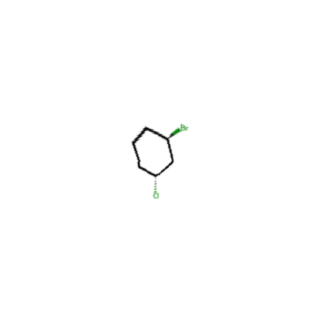 Cl[C@@H]1CCC[C@@H](Br)C1